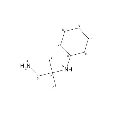 CC(C)(CN)NC1CCCCC1